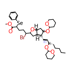 CCCCC[C@@H](/C=C/[C@@H]1[C@H]2CC(C(Br)CCC([Se]c3ccccc3)C(=O)OC)O[C@@H]2C[C@H]1OC1CCCCO1)OC1CCCCO1